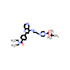 CCN(CC)C(=O)c1ccc(-c2cc(NCCCN3CCN(C(=O)OC(C)(C)C)CC3)c3cnccc3n2)cc1